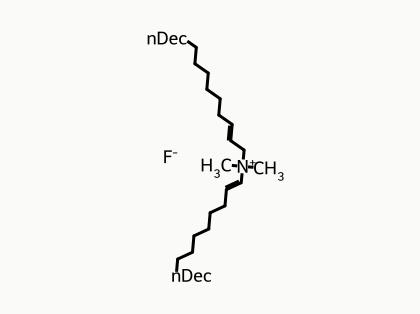 CCCCCCCCCCCCCCCCC=CC[N+](C)(C)C=CCCCCCCCCCCCCCCCC.[F-]